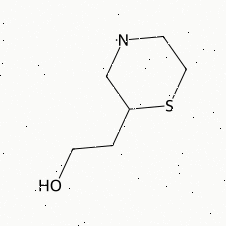 OCCC1C[N]CCS1